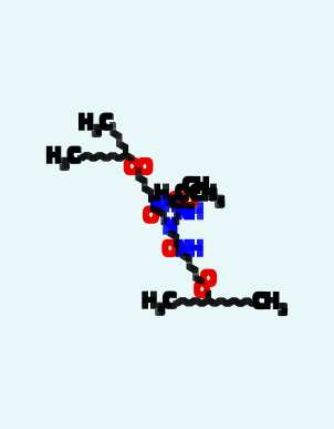 CCCCCCCCC(CCCCCC)COC(=O)CCCCCNC(=O)CCN(CCNC(=O)OC(C)(C)C)CCC(=O)NCCCCCC(=O)OCC(CCCCCC)CCCCCCCC